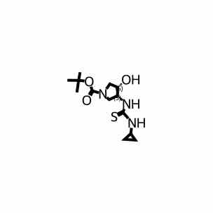 CC(C)(C)OC(=O)N1C[C@H](NC(=S)NC2CC2)[C@@H](O)C1